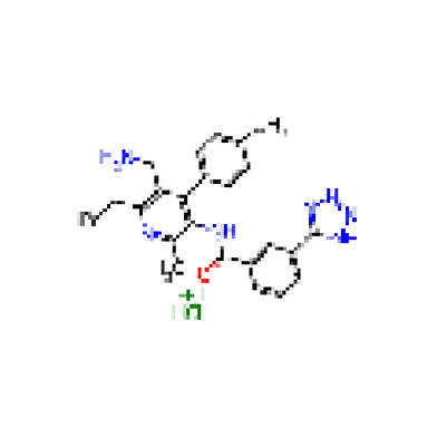 Cc1ccc(-c2c(CN)c(CC(C)C)nc(C)c2NC(=O)c2cccc(-c3nnn[nH]3)c2)cc1.Cl.Cl